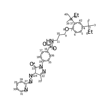 CCC(C)(C)c1ccc(OCCCNS(=O)(=O)c2ccc(N3N=C(C)C(/N=N/c4ccccn4)C3=O)cc2)c(C(C)(C)CC)c1